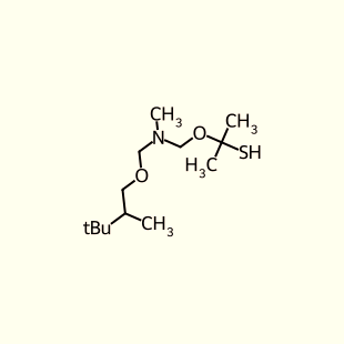 CC(COCN(C)COC(C)(C)S)C(C)(C)C